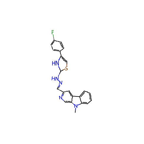 Cn1c2ccccc2c2cc(C=NNC3NC(c4ccc(F)cc4)=CS3)ncc21